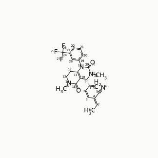 C=C(/C=C\C(C#N)=C/C)[C@@H]1C2=C(CCN(C)C2=O)N(c2cccc(C(F)(F)F)c2)C(=O)N1C